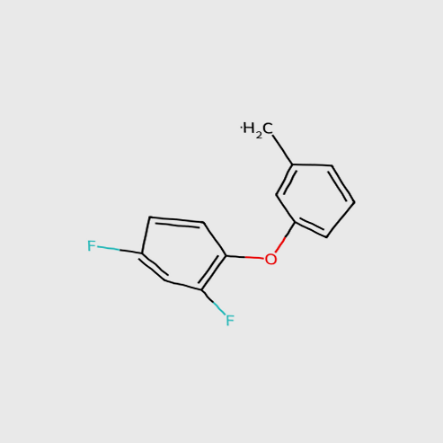 [CH2]c1cccc(Oc2ccc(F)cc2F)c1